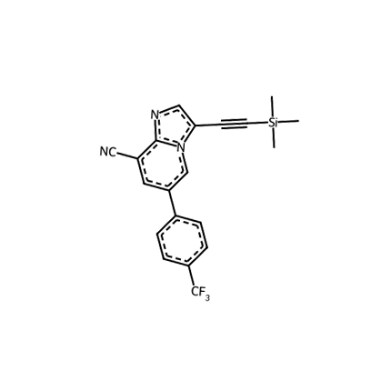 C[Si](C)(C)C#Cc1cnc2c(C#N)cc(-c3ccc(C(F)(F)F)cc3)cn12